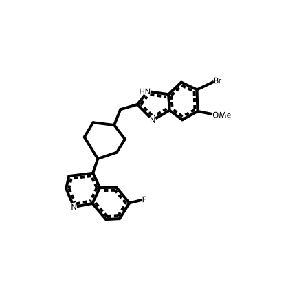 COc1cc2nc(CC3CCC(c4ccnc5ccc(F)cc45)CC3)[nH]c2cc1Br